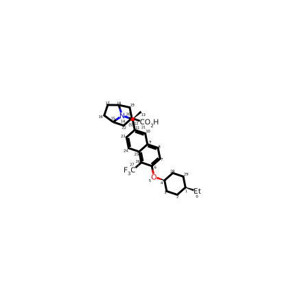 CC[C@H]1CC[C@@H](Oc2ccc3cc([C@H](C)N4C5CCC4CC(C(=O)O)C5)ccc3c2C(F)(F)F)CC1